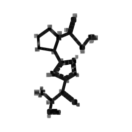 CON(C)C(=O)c1csc(C2CCCN2C(=O)OC(C)(C)C)n1